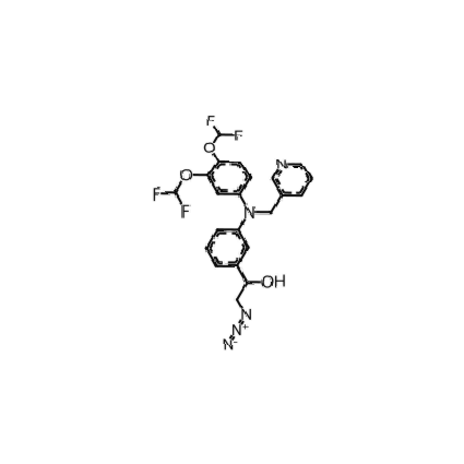 [N-]=[N+]=NCC(O)c1cccc(N(Cc2cccnc2)c2ccc(OC(F)F)c(OC(F)F)c2)c1